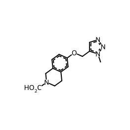 Cn1nncc1COc1ccc2c(c1)CCN(C(=O)O)C2